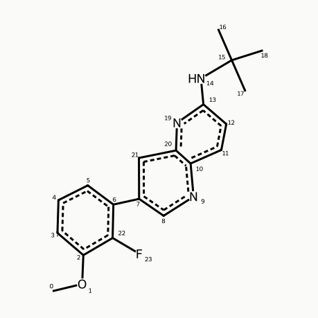 COc1[c]ccc(-c2cnc3ccc(NC(C)(C)C)nc3c2)c1F